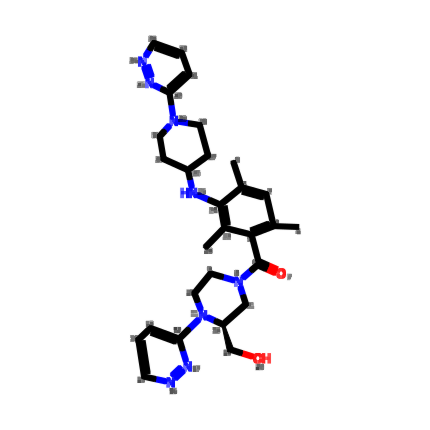 Cc1cc(C)c(C(=O)N2CCN(c3cccnn3)[C@H](CO)C2)c(C)c1NC1CCN(c2cccnn2)CC1